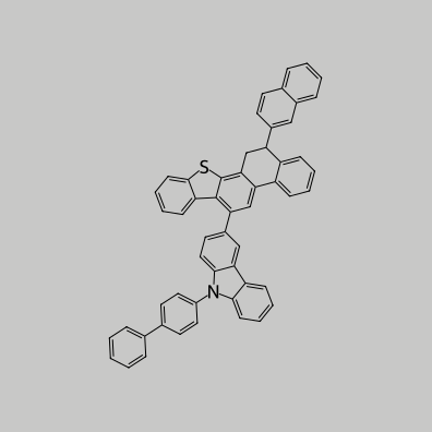 c1ccc(-c2ccc(-n3c4ccccc4c4cc(-c5cc6c(c7sc8ccccc8c57)CC(c5ccc7ccccc7c5)c5ccccc5-6)ccc43)cc2)cc1